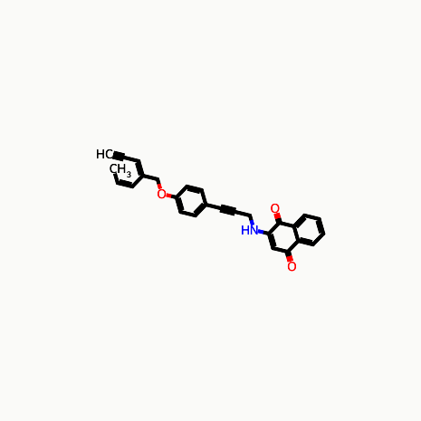 C#C/C=C(\C=C/C)COc1ccc(C#CCNC2=CC(=O)c3ccccc3C2=O)cc1